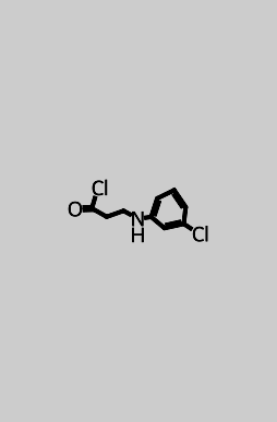 O=C(Cl)CCNc1cccc(Cl)c1